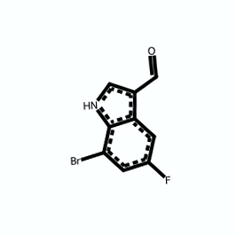 O=Cc1c[nH]c2c(Br)cc(F)cc12